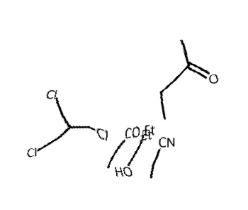 CC#N.CCC(C)=O.CCO.CCOC(C)=O.ClC(Cl)Cl